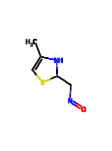 CC1=CSC(CN=O)N1